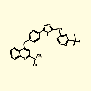 CN(C)c1cc(Oc2ccc(-c3nnc(Nc4cccc(C(F)(F)F)c4)[nH]3)cc2)c2ccccc2n1